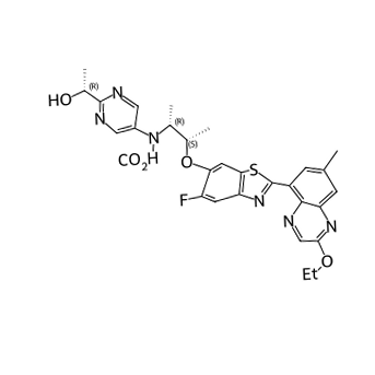 CCOc1cnc2c(-c3nc4cc(F)c(O[C@@H](C)[C@@H](C)N(C(=O)O)c5cnc([C@@H](C)O)nc5)cc4s3)cc(C)cc2n1